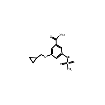 COC(=O)c1cc(NS(C)(=O)=O)cc(OCC2CC2)c1